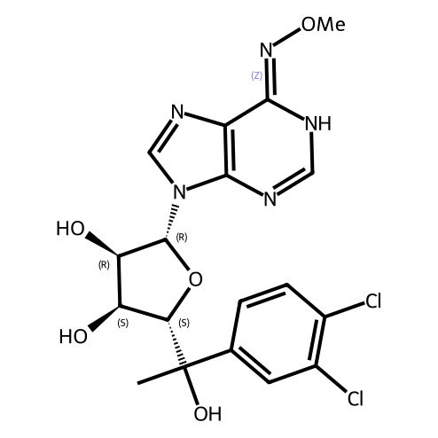 CO/N=c1\[nH]cnc2c1ncn2[C@@H]1O[C@H](C(C)(O)c2ccc(Cl)c(Cl)c2)[C@@H](O)[C@H]1O